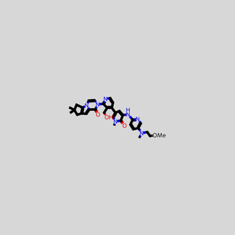 COCCN(C)c1ccc(Nc2cc(-c3ccnc(-n4ccn5c6c(cc5c4=O)CC(C)(C)C6)c3CO)cn(C)c2=O)nc1